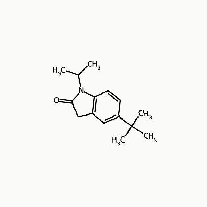 CC(C)N1C(=O)Cc2cc(C(C)(C)C)ccc21